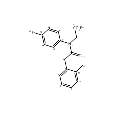 CCOC(=O)CN(C(=O)Cc1ccccc1C)c1ccc(F)cc1